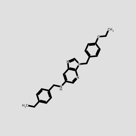 CCOc1ccc(Cn2cnc3cc(NCc4ccc(CC)cc4)cnc32)cc1